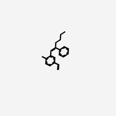 C=Cc1ccc(C)c(C=C(CCCC)c2ccccc2)c1